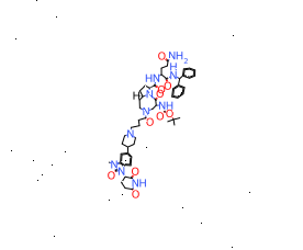 Cn1c(=O)n(C2CCC(=O)NC2=O)c2ccc(C3CCN(CCCC(=O)N4CC[C@H]5CC[C@@H](C(=O)NC(CCC(N)=O)C(=O)NC(c6ccccc6)c6ccccc6)N5C(=O)[C@@H](NC(=O)OC(C)(C)C)C4)CC3)cc21